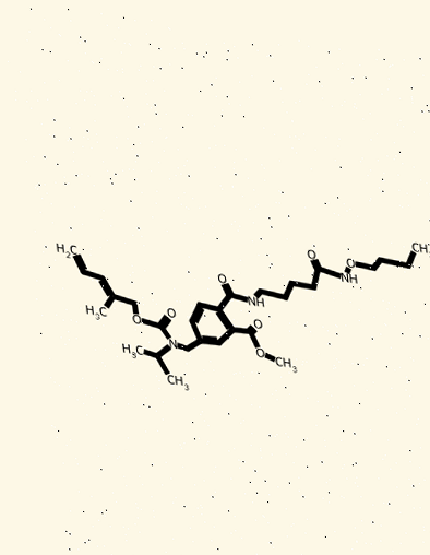 C=C/C=C(\C)COC(=O)N(Cc1ccc(C(=O)NCCCCC(=O)NOCCCC)c(C(=O)OC)c1)C(C)C